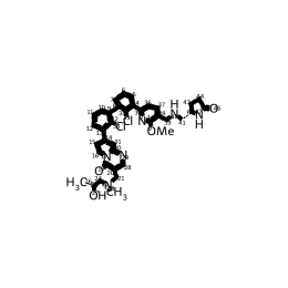 COc1nc(-c2cccc(-c3cccc(-c4ccn5c(=O)c(CN(C)C[C@@H](C)O)cnc5c4)c3Cl)c2Cl)ccc1CNC[C@@H]1CCC(=O)N1